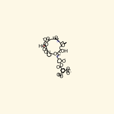 C=CCC1/C=C(/C)C(=O)C(C)CC(OC)C2OC(O)(C(=O)C(=O)N3CCCCC3COC(/C(C)=C/C3CCC(OC(=O)c4cc([N+](=O)[O-])cc([N+](=O)[O-])c4)C(OC)C3)C(C)C(O)CC1=O)C(C)CC2OC